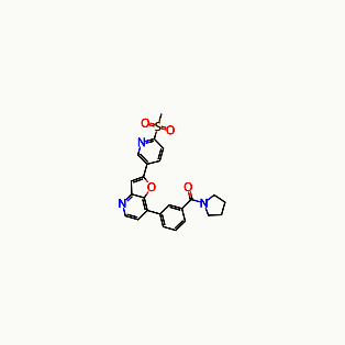 CS(=O)(=O)c1ccc(-c2cc3nccc(-c4cccc(C(=O)N5CCCC5)c4)c3o2)cn1